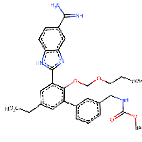 COCCOCOc1c(-c2cccc(CNC(=O)OC(C)(C)C)c2)cc(CC(=O)O)cc1-c1nc2cc(C(=N)N)ccc2[nH]1